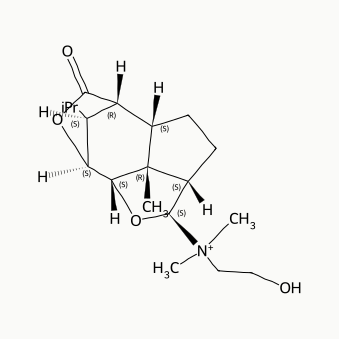 CC(C)[C@@H]1[C@@H]2OC(=O)[C@@H]1[C@@H]1CC[C@@H]3[C@@H]([N+](C)(C)CCO)O[C@H]2[C@@]31C